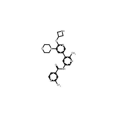 Cc1ncc(NC(=O)c2ccnc(C(F)(F)F)c2)cc1-c1cnc(OC2CNC2)c(N2CCOCC2)c1